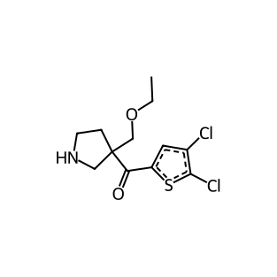 CCOCC1(C(=O)c2cc(Cl)c(Cl)s2)CCNC1